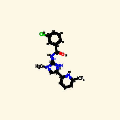 Cn1cc(-c2cccc(C(F)(F)F)n2)[nH]/c1=N\C(=O)c1cccc(Cl)c1